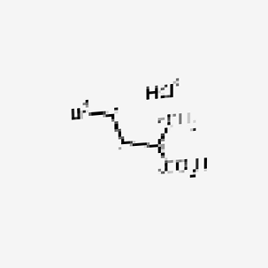 CC(CCBr)C(=O)O.Cl